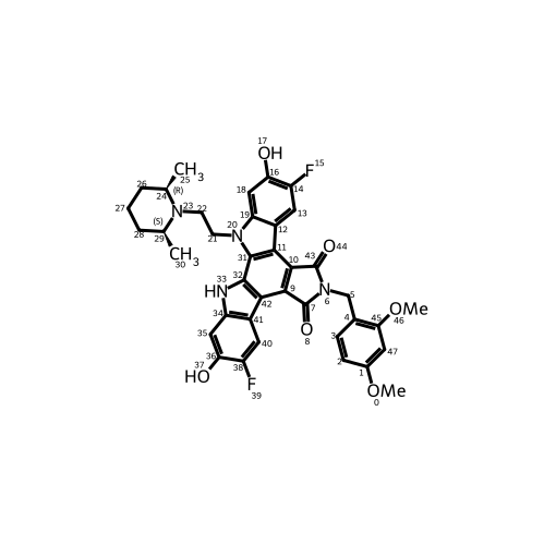 COc1ccc(CN2C(=O)c3c(c4c5cc(F)c(O)cc5n(CCN5[C@H](C)CCC[C@@H]5C)c4c4[nH]c5cc(O)c(F)cc5c34)C2=O)c(OC)c1